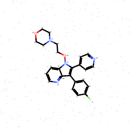 Fc1ccc(-c2c(-c3ccncc3)n(OCCN3CCOCC3)c3cccnc23)cc1